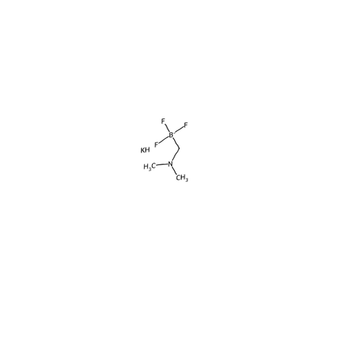 CN(C)C[B-](F)(F)F.[KH]